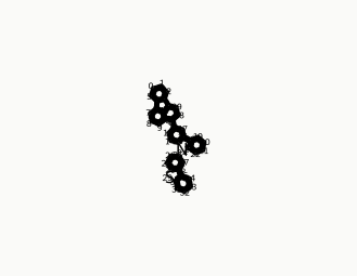 c1ccc2c(c1)-c1cccc3c(-c4ccc5c(c4)c4ccccc4n5-c4ccc5sc6ccccc6c5c4)ccc-2c13